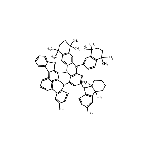 CC(C)(C)c1ccc(N2c3cc(N4c5ccc(C(C)(C)C)cc5C5(C)CCCCC45C)cc4c3B(c3cc5c(cc3N4c3ccc4c(c3)C(C)(C)CCC4(C)C)C(C)(C)CCC5(C)C)c3c2ccc2c3oc3ccccc32)c(-c2ccccc2)c1